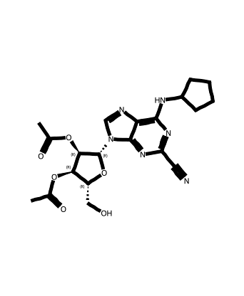 CC(=O)O[C@@H]1[C@H](OC(C)=O)[C@@H](CO)O[C@H]1n1cnc2c(NC3CCCC3)nc(C#N)nc21